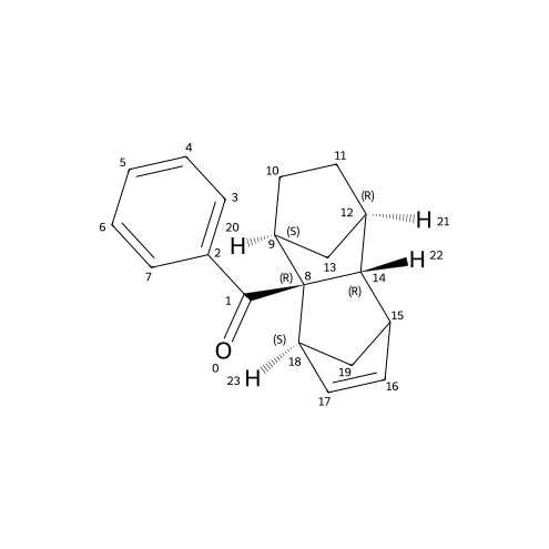 O=C(c1ccccc1)[C@@]12[C@H]3CC[C@H](C3)[C@@H]1C1C=C[C@@H]2C1